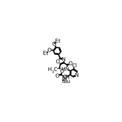 CCOc1ccc(-c2nc(C(=O)Nc3c(Cl)cncc3Cl)c([C@H](C)OC(=O)NC(C)(C)C)o2)cc1OCC